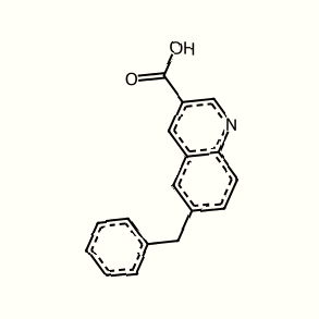 O=C(O)c1cnc2ccc(Cc3ccccc3)cc2c1